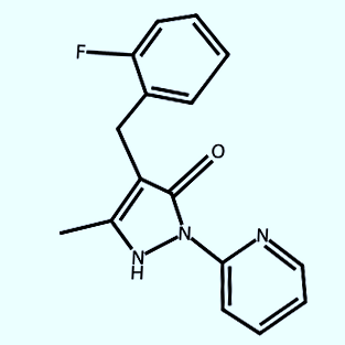 Cc1[nH]n(-c2ccccn2)c(=O)c1Cc1ccccc1F